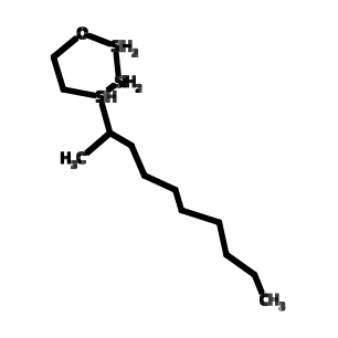 CCCCCCCCC(C)[SiH]1CCO[SiH2][SiH2]1